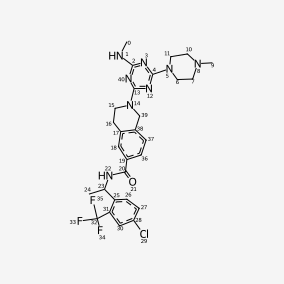 CNc1nc(N2CCN(C)CC2)nc(N2CCc3cc(C(=O)NC(C)c4ccc(Cl)cc4C(F)(F)F)ccc3C2)n1